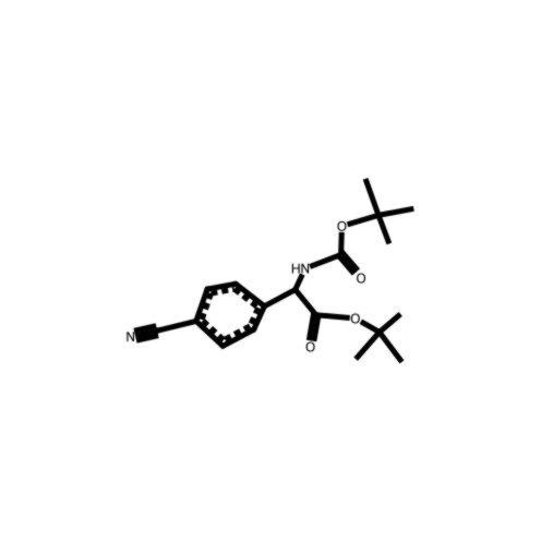 CC(C)(C)OC(=O)NC(C(=O)OC(C)(C)C)c1ccc(C#N)cc1